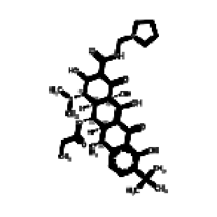 CCC(=O)O[C@H]1[C@H]2C(=C(O)[C@]3(O)C(=O)C(C(=O)NCN4CCCC4)C(O)[C@@H](N(C)C)[C@H]13)C(=O)c1c(ccc(C(C)(C)C)c1O)[C@@H]2C